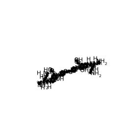 CC(N)CNc1nc(NCC(C)N)nc(Nc2ccc3c(O)c(N=Nc4ccc(OCCOc5ccc(N=Nc6c(SOOO)cc7cc(Nc8nc(NCC(C)N)nc(NCC(C)N)n8)ccc7c6O)cc5)cc4)c(SOOO)cc3c2)n1